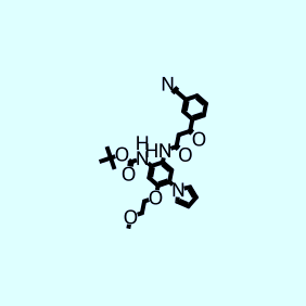 COCCOc1cc(NC(=O)OC(C)(C)C)c(NC(=O)CC(=O)c2cccc(C#N)c2)cc1-n1cccc1